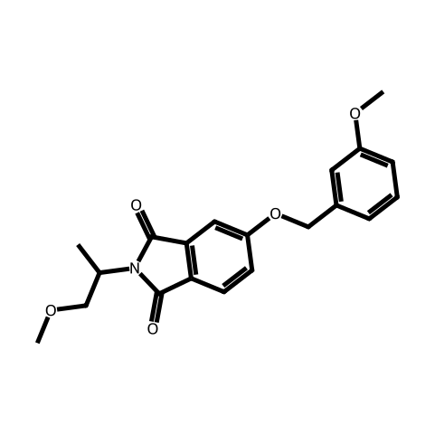 COCC(C)N1C(=O)c2ccc(OCc3cccc(OC)c3)cc2C1=O